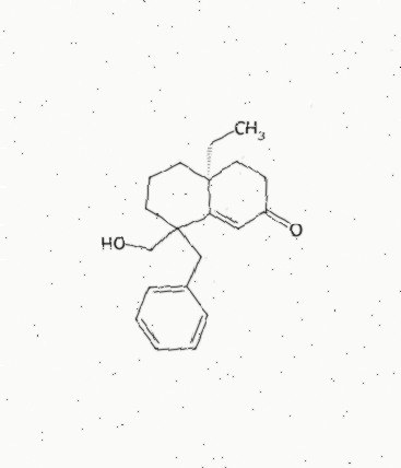 CC[C@@]12CCCC(CO)(Cc3ccccc3)C1=CC(=O)CC2